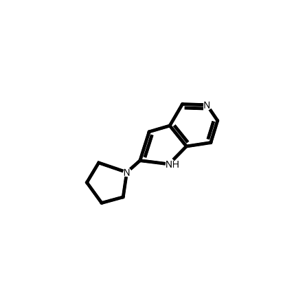 c1cc2[nH]c(N3CCCC3)cc2cn1